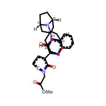 COC(=O)Cn1cccc(-c2nc3ccccc3n([C@@H]3C[C@H]4CC[C@@H](C3)N4[C@@H]3C[C@@H]4CCC[C@@H](C4)C3)c2=O)c1=O